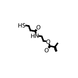 C=C(C)C(=O)OCCNC(=O)CCS